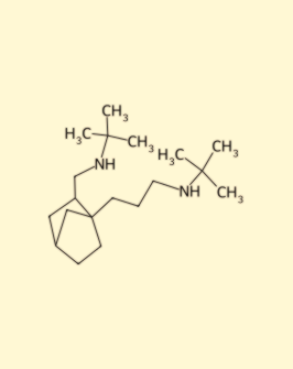 CC(C)(C)NCCCC12CCC(CC1CNC(C)(C)C)C2